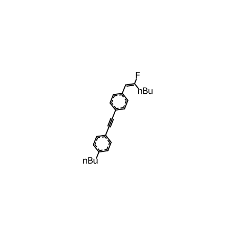 CCCC/C(F)=C\c1ccc(C#Cc2ccc(CCCC)cc2)cc1